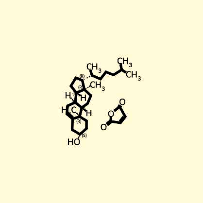 CC(C)CCCC(C)[C@H]1CC[C@H]2[C@@H]3CC=C4C[C@@H](O)CC[C@]4(C)[C@H]3CC[C@]12C.O=C1C=CC(=O)O1